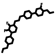 CCCC1CCC(C2CCC(CCCC3CCC(C4CCC(CCC)C(F)C4)CC3)C(F)C2F)CC1